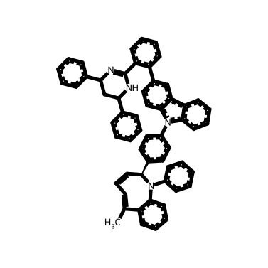 C/C1=C\C=C/[C@@H](c2ccc(-n3c4ccccc4c4cc(-c5ccccc5C5=NC(c6ccccc6)CC(c6ccccc6)N5)ccc43)cc2)N(c2ccccc2)c2ccccc21